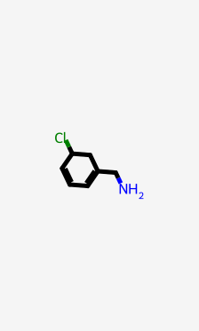 NCC1=CC=CC(Cl)C1